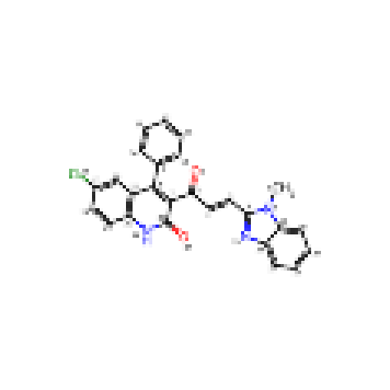 Cn1c(/C=C/C(=O)c2c(-c3ccccc3)c3cc(Cl)ccc3[nH]c2=O)nc2ccccc21